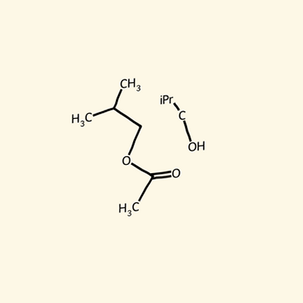 CC(=O)OCC(C)C.CC(C)CO